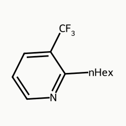 CCCCCCc1ncccc1C(F)(F)F